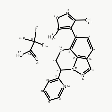 Cc1noc(C)c1-c1ccc2cnn3c2c1OCC3c1ccccn1.O=C(O)C(F)(F)F